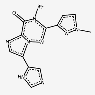 CC(C)n1c(-c2ccn(C)n2)nn2c(-c3cnc[nH]3)cnc2c1=O